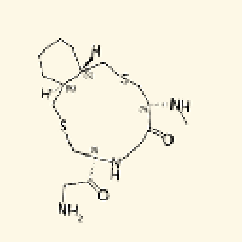 CN[C@H]1CSC[C@H]2CCCC[C@@H]2CSC[C@@H](C(=O)CN)NCC1=O